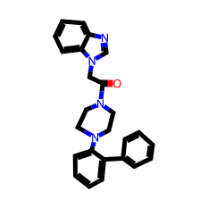 O=C(Cn1cnc2ccccc21)N1CCN(c2ccccc2-c2ccccc2)CC1